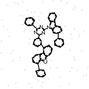 c1ccc(-c2ccc3c4ccccc4n(-c4nc(-c5ccccc5)nc(-c5cccc(-c6cccc7oc8c(-c9ccccc9)cccc8c67)c5)n4)c3c2)cc1